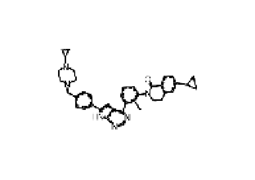 Cc1c(-c2ncnc3[nH]c(-c4ccc(CN5CCN(C6CC6)CC5)cc4)cc23)cccc1N1CCc2cc(C3CC3)ccc2C1=O